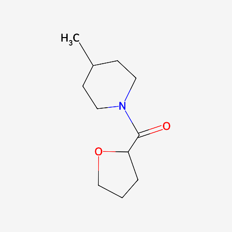 CC1CCN(C(=O)C2CCCO2)CC1